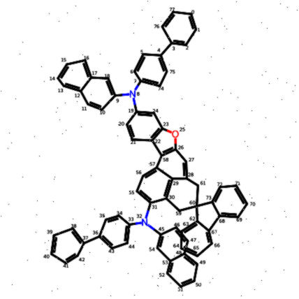 c1ccc(-c2ccc(N(c3ccc4ccccc4c3)c3ccc4c(c3)oc3cc5c6c(c(N(c7ccc(-c8ccccc8)cc7)c7ccc8ccccc8c7)ccc6c34)CC3(C5)c4ccccc4-c4ccccc43)cc2)cc1